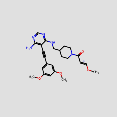 CO/C=C/C(=O)N1CCC(CNc2ncnc(N)c2C#Cc2cc(OC)cc(OC)c2)CC1